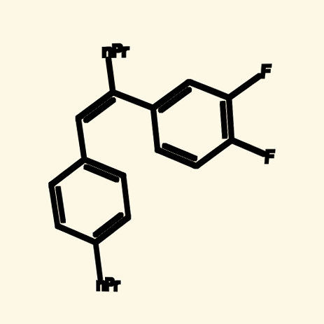 CCCC(=Cc1ccc(CCC)cc1)c1ccc(F)c(F)c1